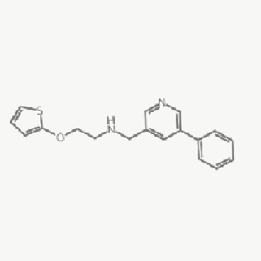 c1ccc(-c2cncc(CNCCOc3cccs3)c2)cc1